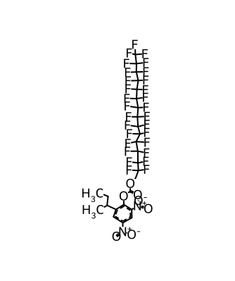 CCC(C)c1cc([N+](=O)[O-])cc([N+](=O)[O-])c1OC(=O)OCC(F)(F)C(F)(F)C(F)(F)C(F)(F)C(F)(F)C(F)(F)C(F)(F)C(F)(F)C(F)(F)C(F)(F)C(F)(F)C(F)(F)C(F)(F)C(F)(F)F